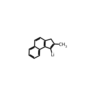 [Li][C]1=C(C)Cc2ccc3ccccc3c21